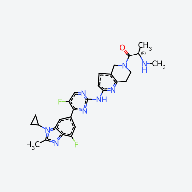 CN[C@H](C)C(=O)N1CCc2nc(Nc3ncc(F)c(-c4cc(F)c5nc(C)n(C6CC6)c5c4)n3)ccc2C1